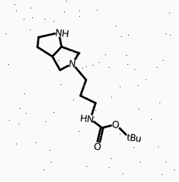 CC(C)(C)OC(=O)NCCCN1CC2CCNC2C1